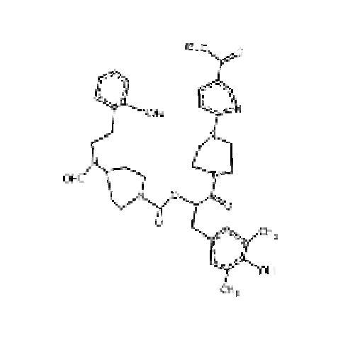 CNc1ccccc1CCN(C=O)C1CCN(C(=O)O[C@H](Cc2cc(C)c(O)c(C)c2)C(=O)N2CCN(c3ccc(C(=O)OCC(C)C)cn3)CC2)CC1